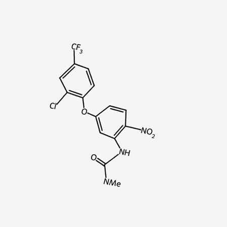 CNC(=O)Nc1cc(Oc2ccc(C(F)(F)F)cc2Cl)ccc1[N+](=O)[O-]